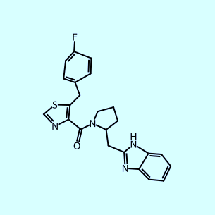 O=C(c1ncsc1Cc1ccc(F)cc1)N1CCCC1Cc1nc2ccccc2[nH]1